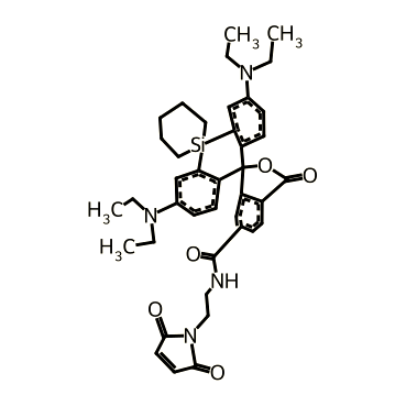 CCN(CC)c1ccc2c(c1)[Si]1(CCCCC1)c1cc(N(CC)CC)ccc1C21OC(=O)c2ccc(C(=O)NCCN3C(=O)C=CC3=O)cc21